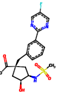 COC(=O)[C@@]1(Cc2cccc(-c3ncc(F)cn3)c2)C[C@H](O)[C@H](NS(C)(=O)=O)C1